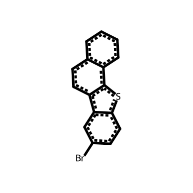 Brc1ccc2sc3c4ccccc4ccc3c2c1